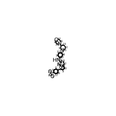 CS(=O)(=O)c1ccc(-c2ccc3cnc(Nc4ccc(N5CCCC(N6CCOCC6)C5)cc4)nn23)cc1